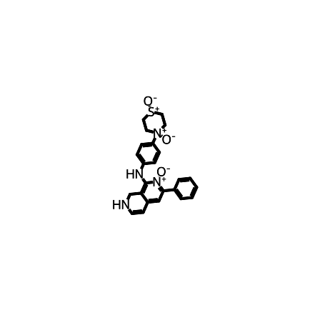 [O-][n+]1c(-c2ccccc2)cc2c(c1Nc1ccc([N+]3([O-])CC[S+]([O-])CC3)cc1)CNC=C2